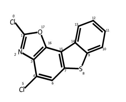 Clc1nc2c(Cl)cc3sc4ccccc4c3c2o1